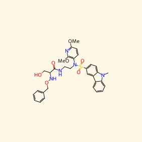 COc1ccc(N(CCNC(=O)C(CO)NOCc2ccccc2)S(=O)(=O)c2ccc3c(c2)c2ccccc2n3C)c(OC)n1